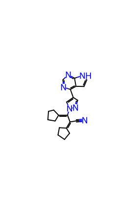 N#CC(=C1CCCC1)C(=C1CCCC1)n1cc(-c2ncnc3[nH]ccc23)cn1